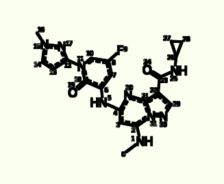 CNc1cc(Nc2cc(F)cn(-c3ccn(C)n3)c2=O)nc2c(C(=O)NC3CC3)cnn12